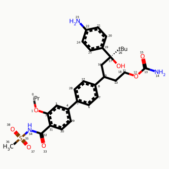 CC(C)Oc1cc(-c2ccc(C(CCOC(N)=O)C[C@](O)(c3ccc(N)cc3)C(C)(C)C)cc2)ccc1C(=O)NS(C)(=O)=O